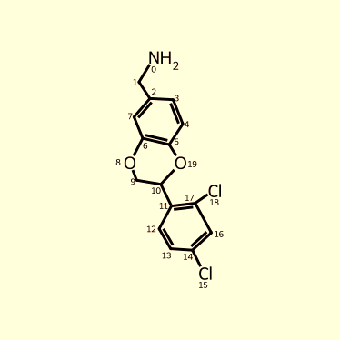 NCc1ccc2c(c1)OCC(c1ccc(Cl)cc1Cl)O2